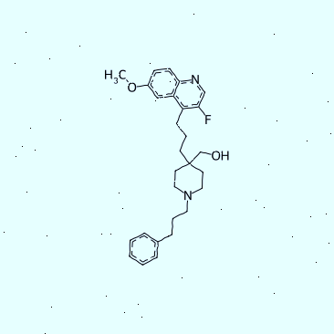 COc1ccc2ncc(F)c(CCCC3(CO)CCN(CCCc4ccccc4)CC3)c2c1